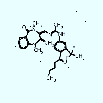 C=C1/C(=C\N=C(/C)Nc2ccc(C(=O)CCCC)c(C(C)(F)F)c2)N(C)C(=O)c2ccccc2N1C